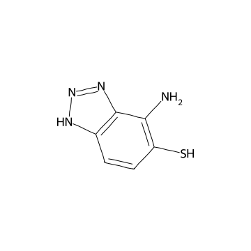 Nc1c(S)ccc2[nH]nnc12